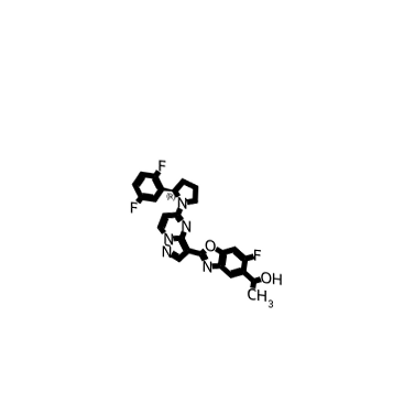 CC(O)c1cc2nc(-c3cnn4ccc(N5CCC[C@@H]5c5cc(F)ccc5F)nc34)oc2cc1F